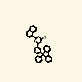 Clc1nc(-c2cccc(C3(c4ccccc4)c4ccccc4-c4ccccc43)c2)nc(-c2cccc3ccccc23)n1